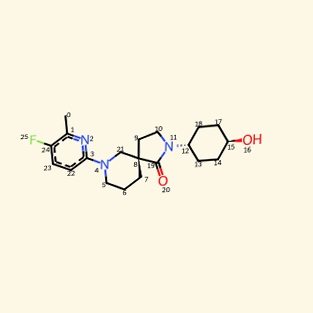 Cc1nc(N2CCC[C@]3(CCN([C@H]4CC[C@H](O)CC4)C3=O)C2)ccc1F